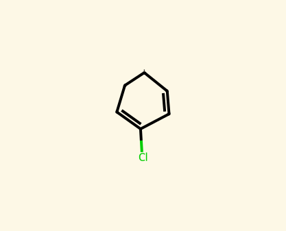 ClC1=CC[CH]C=C1